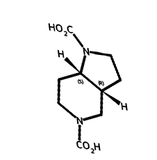 O=C(O)N1CC[C@H]2[C@H](CCN2C(=O)O)C1